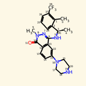 Cc1c([C@@H](C)Nc2nn(C)c(=O)c3ccc(N4CCNCC4)cc23)cccc1C(F)(F)F